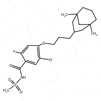 CC12CCCC(C)(CC(CCCOc3cc(F)c(C(=O)NS(C)(=O)=O)cc3Cl)C1)C2